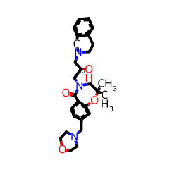 CC1(C)CN(C[C@H](O)CN2CCc3ccccc3C2)C(=O)c2ccc(CN3CCOCC3)cc2O1